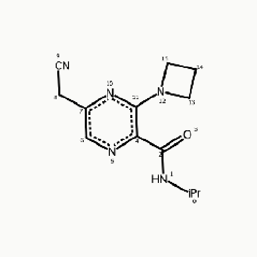 CC(C)NC(=O)c1ncc(CC#N)nc1N1CCC1